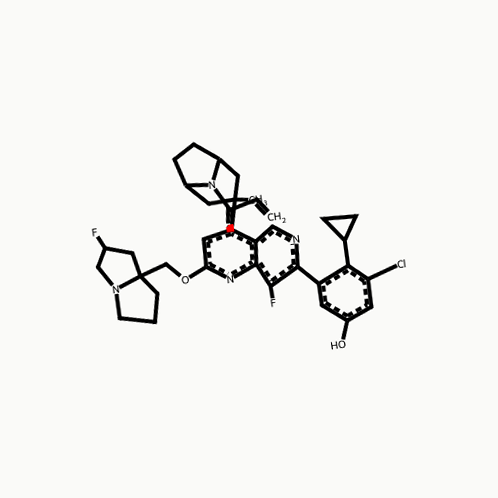 C=CC(=O)N1C2CCC1CC(C)(c1cc(OCC34CCCN3CC(F)C4)nc3c(F)c(-c4cc(O)cc(Cl)c4C4CC4)ncc13)C2